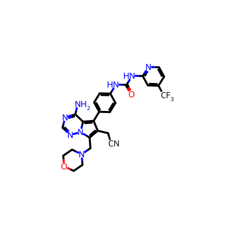 N#CCc1c(-c2ccc(NC(=O)Nc3cc(C(F)(F)F)ccn3)cc2)c2c(N)ncnn2c1CN1CCOCC1